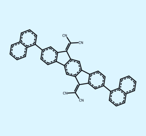 [C-]#[N+]/C(C#N)=C1/c2cc(-c3cccc4ccccc34)ccc2-c2cc3c(cc21)-c1ccc(-c2cccc4ccccc24)cc1/C3=C(/C#N)[N+]#[C-]